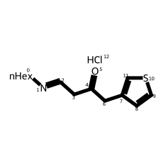 CCCCCCN=CCC(=O)Cc1ccsc1.Cl